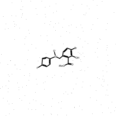 COC(=O)c1c(C[S+]([O-])c2ccc(F)cc2)ccc(Br)c1O